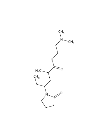 CCC(CC(C)C(=O)OCCN(C)C)N1CCCC1=O